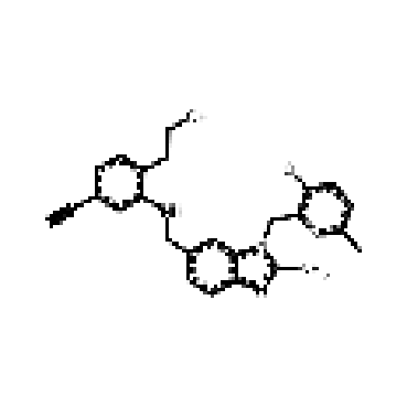 C#Cc1ccc(CCO)c(NCc2ccc3nc(N)n(Cc4nc(C)ccc4O)c3c2)c1